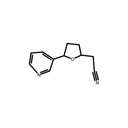 N#CCC1CCC(c2cccnc2)O1